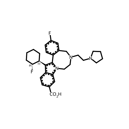 O=C(O)c1ccc2c([C@@H]3CCCC[C@H]3F)c3n(c2c1)CCN(CCN1CCCC1)Cc1cc(F)ccc1-3